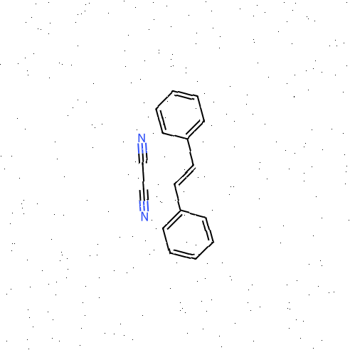 C(=Cc1ccccc1)c1ccccc1.N#CC#N